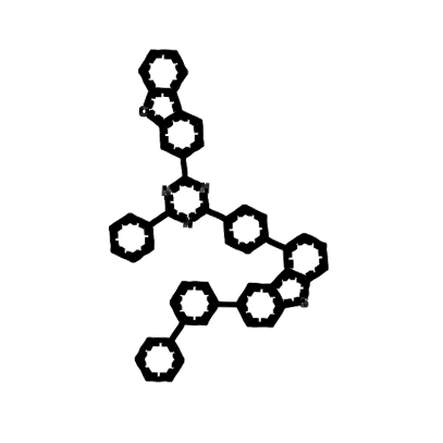 c1ccc(-c2cccc(-c3ccc4sc5cccc(-c6ccc(-c7nc(-c8ccccc8)nc(-c8ccc9c(c8)oc8ccccc89)n7)cc6)c5c4c3)c2)cc1